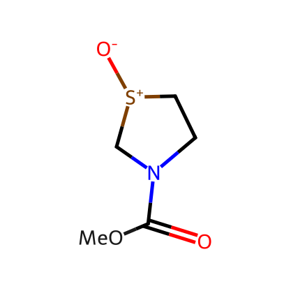 COC(=O)N1CC[S+]([O-])C1